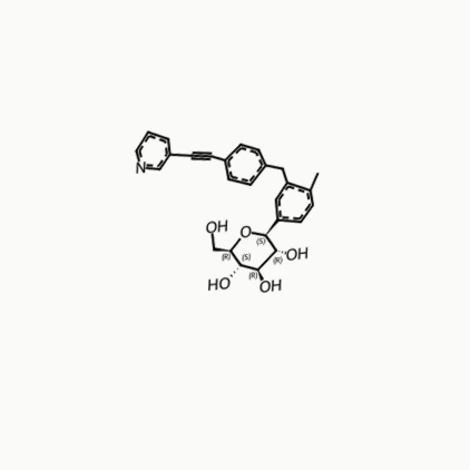 Cc1ccc([C@@H]2O[C@H](CO)[C@@H](O)[C@H](O)[C@H]2O)cc1Cc1ccc(C#Cc2cccnc2)cc1